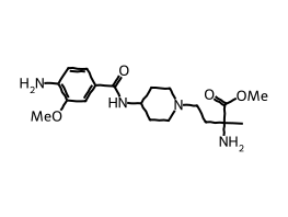 COC(=O)C(C)(N)CCN1CCC(NC(=O)c2ccc(N)c(OC)c2)CC1